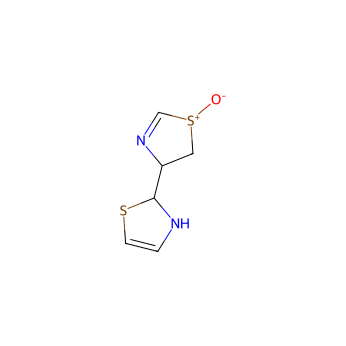 [O-][S+]1C=NC(C2NC=CS2)C1